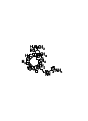 CC[C@H]1OC(=O)[C@@](C)(F)C(=O)[C@H](C)[C@@H](O[C@@H]2OC(C)CC(N(C)C)C2O)[C@](C)(OC)C[C@@H](C)C(=O)[C@H](C)[C@H]2N(C/C=C/Cn3cc(-c4cnc(N)s4)nn3)C(=O)O[C@]12C